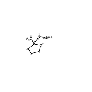 CSNC1(C(F)(F)F)CCCO1